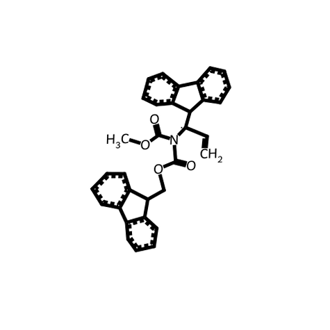 C=C[C](C1c2ccccc2-c2ccccc21)N(C(=O)OC)C(=O)OCC1c2ccccc2-c2ccccc21